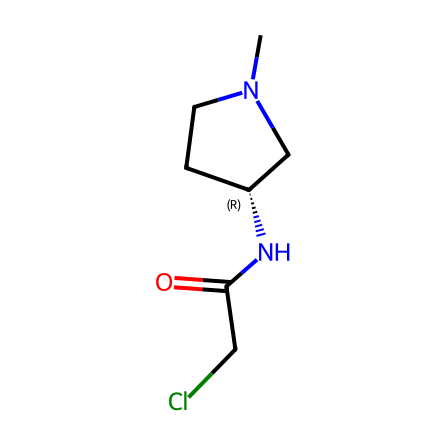 CN1CC[C@@H](NC(=O)CCl)C1